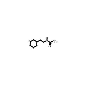 NC(=S)NCCC1CCCCC1